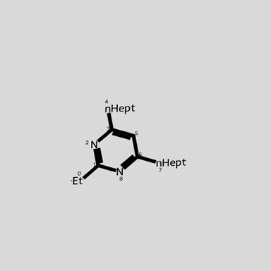 C[CH]c1nc(CCCCCCC)cc(CCCCCCC)n1